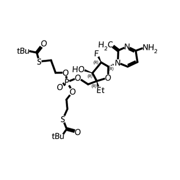 C=C1N=C(N)C=CN1[C@@H]1O[C@](CC)(COP(=O)(OCCSC(=O)C(C)(C)C)OCCSC(=O)C(C)(C)C)[C@@H](O)[C@H]1F